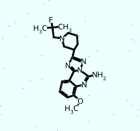 COc1cccc2c1nc(N)n1nc(C3CCCN(CC(C)(C)F)C3)nc21